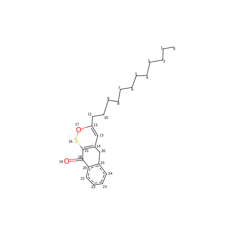 CCCCCCCCCCCCC1=CC2=C(SO1)C(=O)c1ccccc1C2